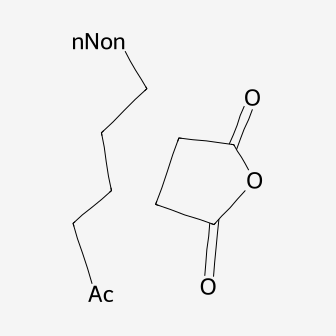 CCCCCCCCCCCCCC(C)=O.O=C1CCC(=O)O1